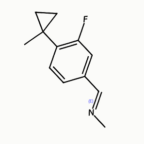 C/N=C/c1ccc(C2(C)CC2)c(F)c1